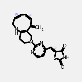 C=C1/C=C\C=C/CNC2=C1CN(c1nccc(/C=C3\SC(=O)NC3=O)n1)CC2